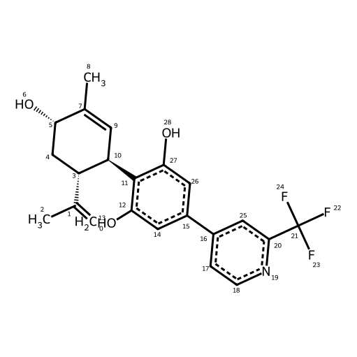 C=C(C)[C@@H]1C[C@H](O)C(C)=C[C@H]1c1c(O)cc(-c2ccnc(C(F)(F)F)c2)cc1O